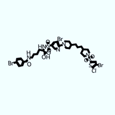 O=C(NCCCCC(NS(=O)(=O)c1cnc(N2CCC(CCCC3CCN(S(=O)(=O)c4cc(Br)c(Cl)s4)CC3)CC2)c(Br)c1)C(=O)O)c1ccc(Br)cc1